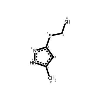 Cc1cc(SCS)n[nH]1